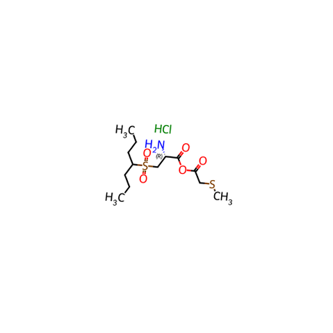 CCCC(CCC)S(=O)(=O)C[C@H](N)C(=O)OC(=O)CSC.Cl